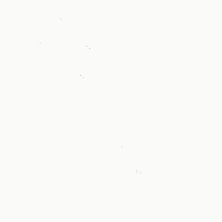 CCCCc1nc2c(N)nc3ccccc3c2n1CCCCNC(=O)Nc1ccc(F)cc1